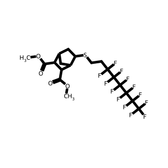 COC(=O)C1C2CC(SCCC(F)(F)C(F)(F)C(F)(F)C(F)(F)C(F)(F)C(F)(F)F)C(C2)C1C(=O)OC